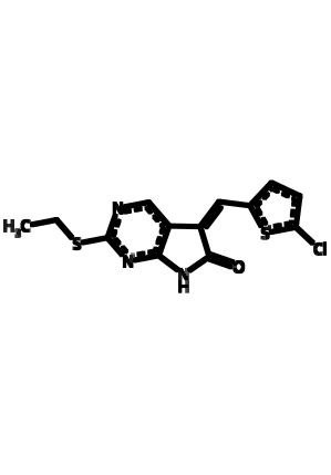 CCSc1ncc2c(n1)NC(=O)C2=Cc1ccc(Cl)s1